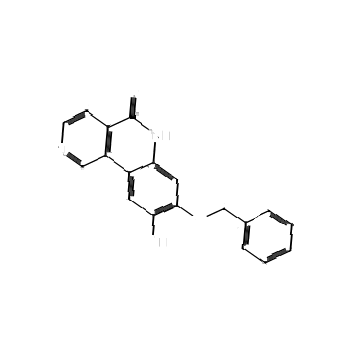 Cc1cc2c(cc1OCc1ccccc1)[nH]c(=O)c1ccncc12